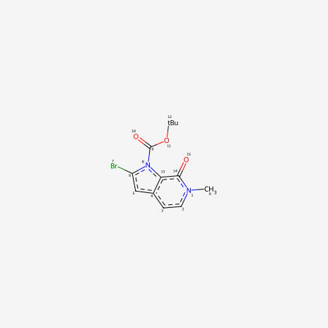 Cn1ccc2cc(Br)n(C(=O)OC(C)(C)C)c2c1=O